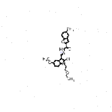 CCOCCn1c(Cl)c(/C=N/NC(=O)c2cc3cc(C)ccc3o2)c2cc(OC)ccc21